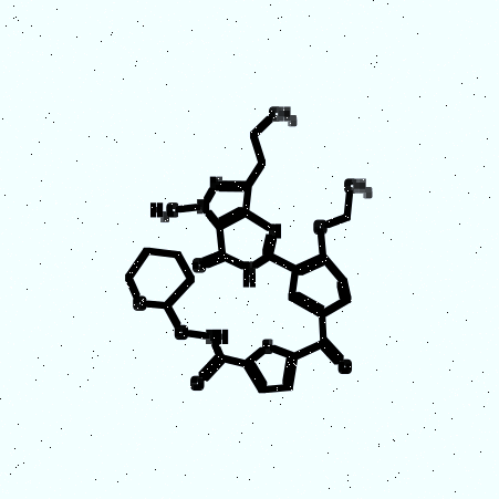 CCCc1nn(C)c2c(=O)[nH]c(-c3cc(C(=O)c4ccc(C(=O)NOC5CCCCO5)s4)ccc3OCC)nc12